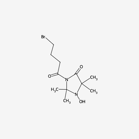 CC1(C)C(=O)N(C(=O)CCCBr)C(C)(C)N1O